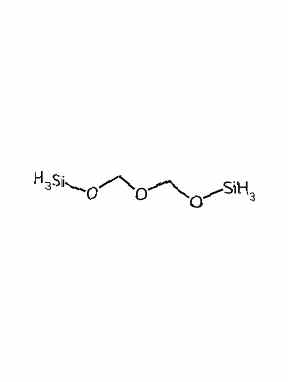 [SiH3]OCOCO[SiH3]